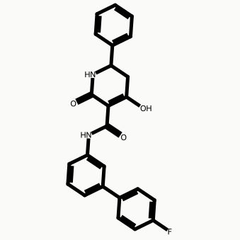 O=C(Nc1cccc(-c2ccc(F)cc2)c1)C1=C(O)CC(c2ccccc2)NC1=O